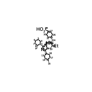 CCCCn1c(-c2ccccc2C)nc(-c2ccc(C)cc2)c1CC(CC)NCc1ccc(C(=O)O)cc1